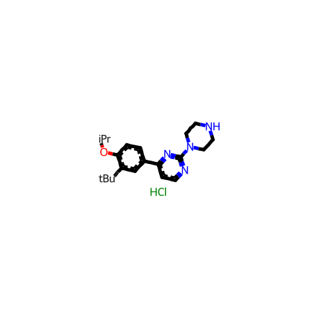 CC(C)Oc1ccc(-c2ccnc(N3CCNCC3)n2)cc1C(C)(C)C.Cl